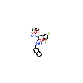 CC(C)(C)OC(=O)N[C@@H](Cc1cc(F)cc(F)c1)[C@H](O)CNCc1ccc2ccccc2c1